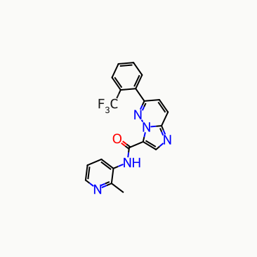 Cc1ncccc1NC(=O)c1cnc2ccc(-c3ccccc3C(F)(F)F)nn12